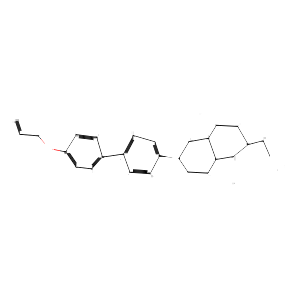 C=CCOc1ccc(-c2ccc([C@@H]3CC[C@@H]4CC(CC)CC[C@@H]4C3)cc2)cc1